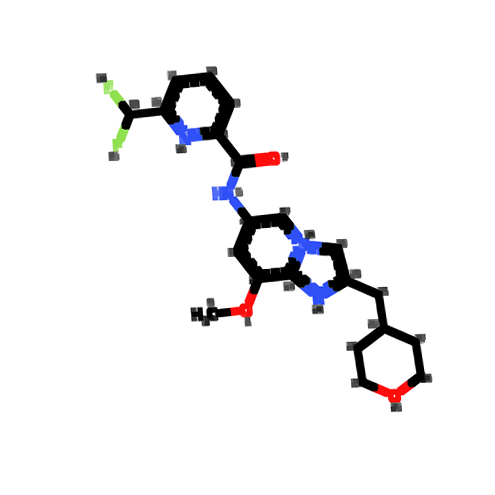 COc1cc(NC(=O)c2cccc(C(F)F)n2)cn2cc(CC3CCOCC3)nc12